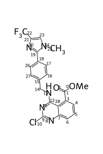 COC(=O)c1cccc2nc(Cl)nc(NCc3ccc(-c4nc(C(F)(F)F)cn4C)cc3)c12